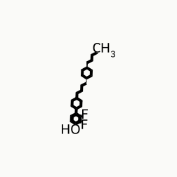 CCCCC[C@H]1CC[C@H](CCCCC2CCC(c3ccc(O)c(F)c3F)CC2)CC1